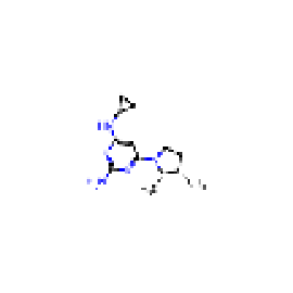 C[C@H]1CCN(c2cc(NC3CC3)nc(N)n2)[C@H]1C